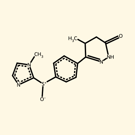 CC1CC(=O)NN=C1c1ccc([S+]([O-])c2nccn2C)cc1